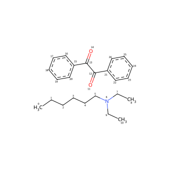 CCCCCCN(CC)CC.O=C(C(=O)c1ccccc1)c1ccccc1